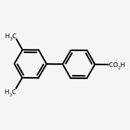 Cc1cc(C)cc(-c2ccc(C(=O)O)cc2)c1